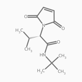 CC(C)[C@@H](C(=O)NC(C)(C)C)N1C(=O)C=CC1=O